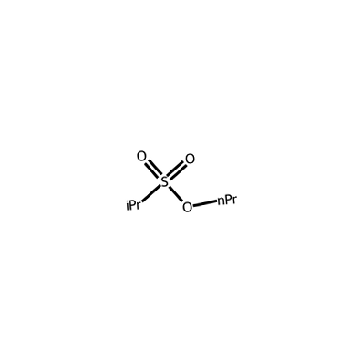 CCCOS(=O)(=O)C(C)C